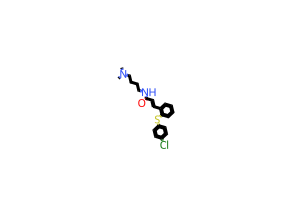 CN(C)CCCCNC(=O)C=Cc1ccccc1Sc1ccc(Cl)cc1